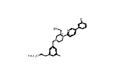 Cc1cc(CCC(=O)O)cc(CN2CCN(c3ccc(-c4cccc(F)c4)cn3)[C@H](CC(C)C)C2)c1